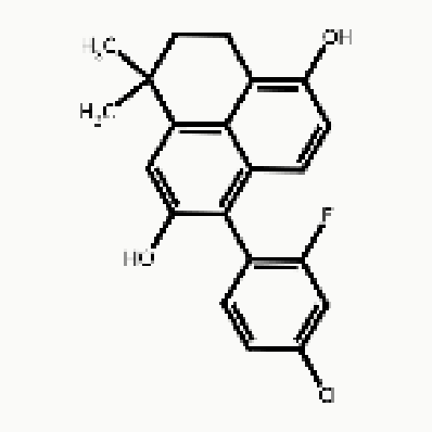 CC1(C)CCc2c(O)ccc3c(-c4ccc(Cl)cc4F)c(O)cc1c23